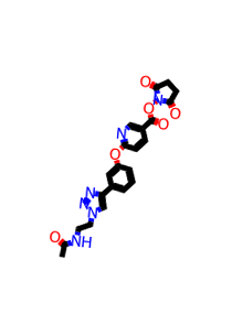 CC(=O)NCCn1cc(-c2cccc(Oc3ccc(C(=O)ON4C(=O)CCC4=O)cn3)c2)nn1